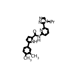 Cc1ccc(-c2ccc(C(=O)Nc3cccc(-c4nncn4C(C)C)n3)[nH]2)cc1C